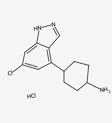 Cl.NC1CCC(c2cc(Cl)cc3[nH]ncc23)CC1